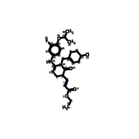 CCOC(=O)/C=C/C1CN=C(Nc2ccc(OC(C)C)c(F)c2)N(CC2=CCC(Cl)CC2)C1=O